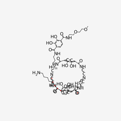 COCCOCCNC(=O)c1ccc(C(=O)NCCC[C@H]2CN3CCNC(=O)c4ccc(c(O)c4O)C(=O)NCCN(CCNC(=O)c4ccc(c(O)c4O)C(=O)N[C@@H](CCCCN)C3)CCNC(=O)c3ccc(c(O)c3O)C(=O)N2)c(O)c1O